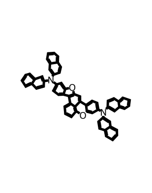 c1ccc2cc(N(c3ccc4c(c3)Oc3cccc5c3c-4cc3oc4cc(N(c6ccc7ccccc7c6)c6ccc7ccccc7c6)ccc4c35)c3ccc4ccccc4c3)ccc2c1